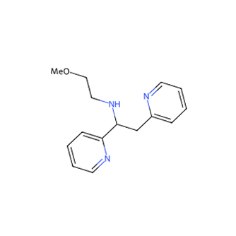 COCCNC(Cc1ccccn1)c1ccccn1